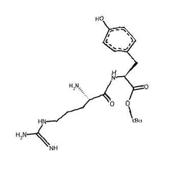 CC(C)(C)OC(=O)[C@H](Cc1ccc(O)cc1)NC(=O)[C@@H](N)CCCNC(=N)N